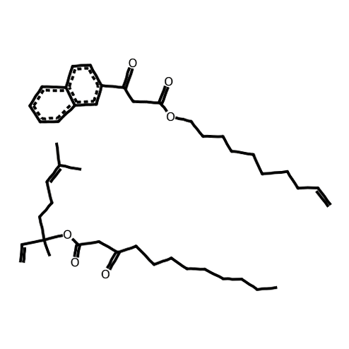 C=CC(C)(CCC=C(C)C)OC(=O)CC(=O)CCCCCCCCC.C=CCCCCCCCCOC(=O)CC(=O)c1ccc2ccccc2c1